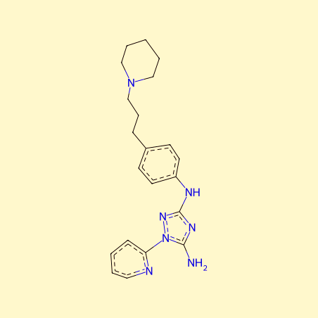 Nc1nc(Nc2ccc(CCCN3CCCCC3)cc2)nn1-c1ccccn1